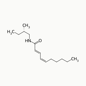 CCCCC/C=C\C=C\C(=O)NC[C@@H](C)CC